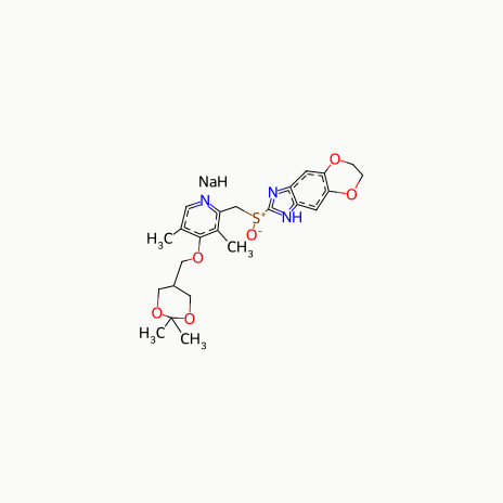 Cc1cnc(C[S+]([O-])c2nc3cc4c(cc3[nH]2)OCCO4)c(C)c1OCC1COC(C)(C)OC1.[NaH]